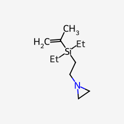 C=C(C)[Si](CC)(CC)CCN1CC1